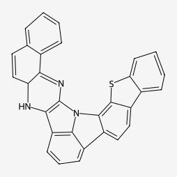 C1=CC2Nc3c(n4c5c3cccc5c3ccc5c6ccccc6sc5c34)N=C2c2ccccc21